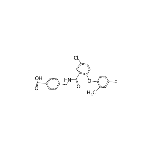 Cc1cc(F)ccc1Oc1ccc(Cl)cc1C(=O)NCc1ccc(C(=O)O)cc1